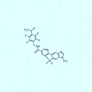 Cn1cnc2cc(-c3ncc(C(=O)NCc4c(F)c(F)c([S+](C)[O-])c(F)c4F)cn3)c(C(F)(F)F)cc21